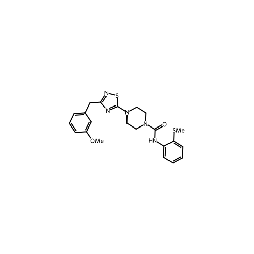 COc1cccc(Cc2nsc(N3CCN(C(=O)Nc4ccccc4SC)CC3)n2)c1